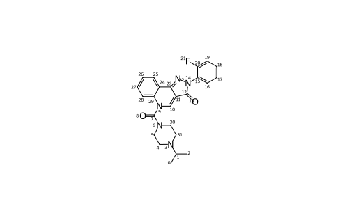 CC(C)N1CCN(C(=O)n2cc3c(=O)n(-c4ccccc4F)nc-3c3ccccc32)CC1